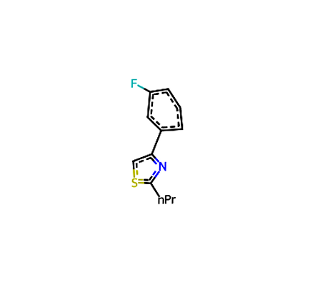 CCCc1nc(-c2cccc(F)c2)cs1